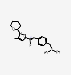 Cc1cc(/C(F)=C/c2ccc(CN(C(C)C)C(C)C)cc2)nn1C1CCCCO1